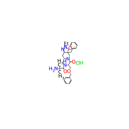 CCN1N=C2CCN(C(=O)C(COCc3ccccc3)NC(=O)C(C)(C)N)CC2(Cc2ccccc2)C1=O.Cl